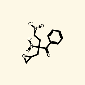 O=C(c1ccccc1)C(CC[N+](=O)[O-])(CC1CO1)[N+](=O)[O-]